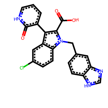 O=C(O)c1c(-c2ccc[nH]c2=O)c2cc(Cl)ccc2n1Cc1ccc2[nH]cnc2c1